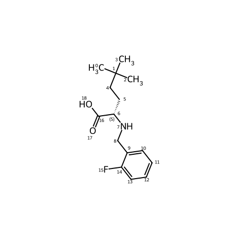 CC(C)(C)CC[C@H](NCc1ccccc1F)C(=O)O